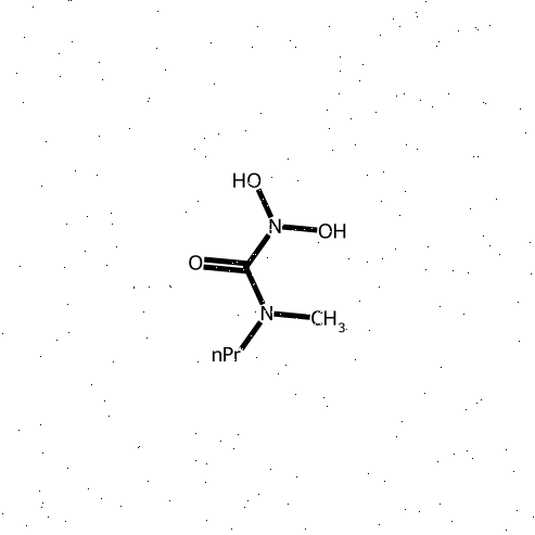 CCCN(C)C(=O)N(O)O